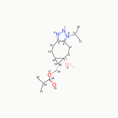 BC12CCc3c(nnn3C(C)C)CCC1[C@H]2COC(=O)C(C)C